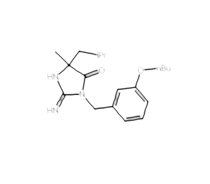 CCCCOc1cccc(CN2C(=N)NC(C)(CC(C)C)C2=O)c1